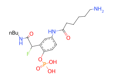 CCCCNC(=O)C(F)c1cc(NC(=O)CCCCCN)ccc1OP(=O)(O)O